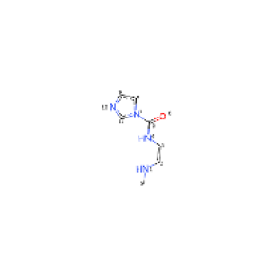 CN/C=C\NC(=O)n1ccnc1